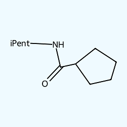 CCCC(C)NC(=O)C1CCCC1